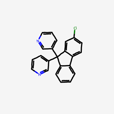 Clc1ccc2c(c1)C(c1cccnc1)(c1cccnc1)c1ccccc1-2